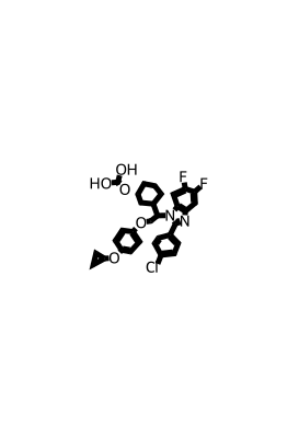 Fc1cc2nc(-c3ccc(Cl)cc3)n(C(COc3ccc(OC4CC4)cc3)C3CCCCC3)c2cc1F.O=C(O)O